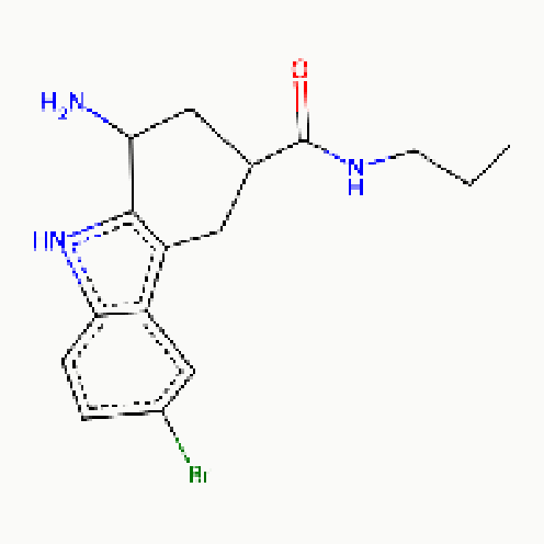 CCCNC(=O)C1Cc2c([nH]c3ccc(Br)cc23)C(N)C1